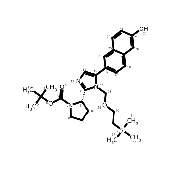 CC(C)(C)OC(=O)N1CCC[C@H]1c1ncc(-c2ccc3cc(O)ccc3c2)n1COCC[Si](C)(C)C